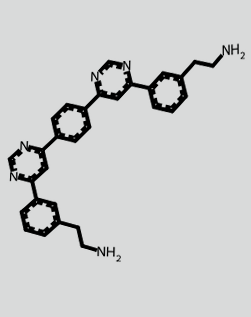 NCCc1cccc(-c2cc(-c3ccc(-c4cc(-c5cccc(CCN)c5)ncn4)cc3)ncn2)c1